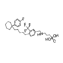 O=P(O)(O)CCCNCc1ccc(CCCCCC2(c3ccc(F)cc3)CCCCC2)c(C(F)(F)F)c1